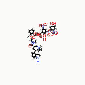 CC(=O)c1ccccc1C(=O)O.CCN(CC)C(=O)[C@@H]1C=C2c3cccc4[nH]cc(c34)C[C@H]2N(C)C1.O=C(O)c1cc([N+](=O)[O-])cc([N+](=O)[O-])c1O.O=[N+]([O-])c1ccc(O)cc1